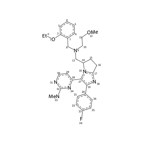 CCOc1ccccc1CN(CCOC)CC1CCc2nc(-c3ccc(F)cc3)c(-c3ccnc(NC)n3)n21